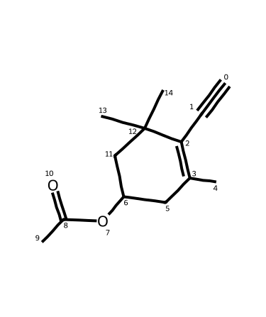 C#CC1=C(C)CC(OC(C)=O)CC1(C)C